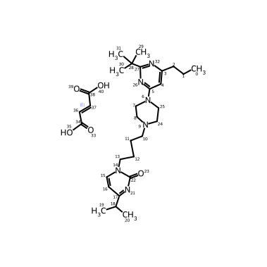 CCCc1cc(N2CCN(CCCCn3ccc(C(C)C)nc3=O)CC2)nc(C(C)(C)C)n1.O=C(O)/C=C/C(=O)O